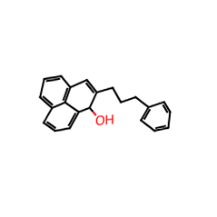 OC1C(CCCc2ccccc2)=Cc2cccc3cccc1c23